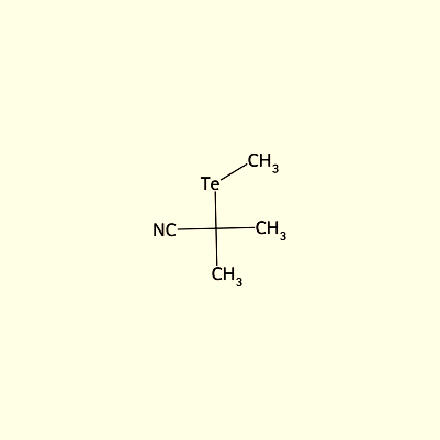 C[Te]C(C)(C)C#N